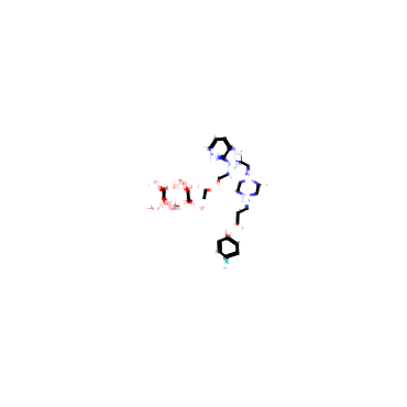 CCOCCn1c(CN2CCN(CCCOc3ccc(F)cc3)CC2)nc2cccnc21.O=C(O)C(=O)O.O=C(O)C(=O)O